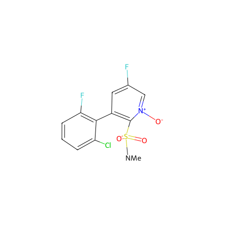 CNS(=O)(=O)c1c(-c2c(F)cccc2Cl)cc(F)c[n+]1[O-]